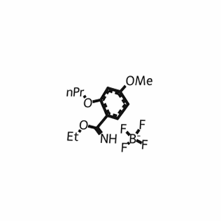 CCCOc1cc(OC)ccc1C(=N)OCC.F[B-](F)(F)F